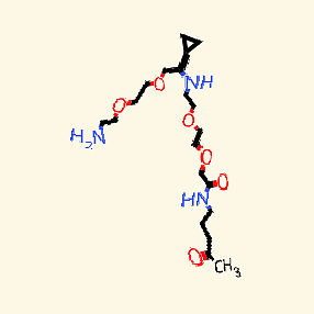 CC(=O)CCCNC(=O)COCCOCCNC(COCCOCCN)=C1CC1